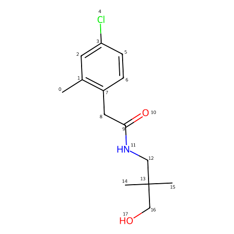 Cc1cc(Cl)ccc1CC(=O)NCC(C)(C)CO